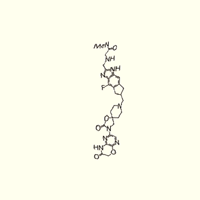 CNC(=O)CNCc1nc2c(F)c3c(cc2[nH]1)CC(CN1CCC2(CC1)CN(c1cnc4c(n1)NC(=O)CO4)C(=O)O2)C3